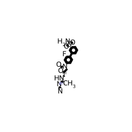 C/C(=N\C#N)NC[C@H]1CN(c2ccc(-c3cccc(S(N)(=O)=O)c3)c(F)c2)C(=O)O1